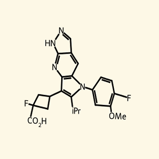 COc1cc(-n2c(C(C)C)c(C3CC(F)(C(=O)O)C3)c3nc4[nH]ncc4cc32)ccc1F